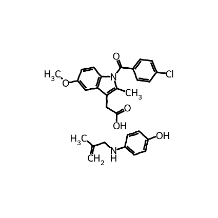 C=C(C)CNc1ccc(O)cc1.COc1ccc2c(c1)c(CC(=O)O)c(C)n2C(=O)c1ccc(Cl)cc1